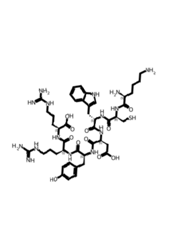 N=C(N)NCCC[C@H](NC(=O)[C@H](CCCNC(=N)N)NC(=O)[C@H](Cc1ccc(O)cc1)NC(=O)[C@H](CC(=O)O)NC(=O)[C@H](Cc1c[nH]c2ccccc12)NC(=O)[C@H](CS)NC(=O)[C@@H](N)CCCCN)C(=O)O